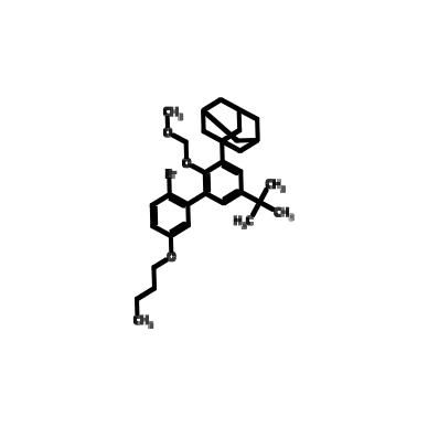 CCCCOc1ccc(Br)c(-c2cc(C(C)(C)C)cc(C34CC5CC(CC(C5)C3)C4)c2OCOC)c1